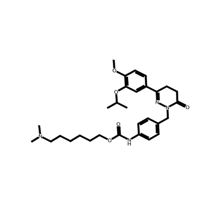 COc1ccc(C2=NN(Cc3ccc(NC(=O)OCCCCCCN(C)C)cc3)C(=O)CC2)cc1OC(C)C